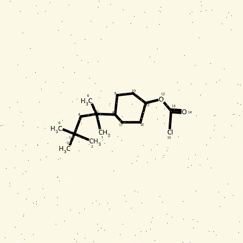 CC(C)(C)CC(C)(C)C1CCC(OC(=O)Cl)CC1